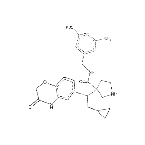 O=C1COc2ccc(C(CC3CC3)C3(C(=O)NCc4cc(C(F)(F)F)cc(C(F)(F)F)c4)CCNC3)cc2N1